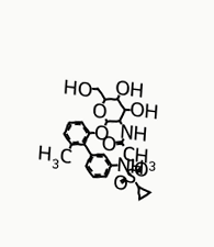 CC(=O)NC1C(Oc2cccc(C)c2-c2cccc(NS(=O)(=O)C3CC3)c2)OC(CO)C(O)C1O